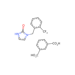 O=C(O)c1cccc(C(=O)O)c1.O=c1[nH]ccn1Cc1ccccc1C(F)(F)F